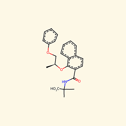 C[C@@H](COc1ccccc1)Oc1c(C(=O)NC(C)(C)C(=O)O)ccc2ccccc12